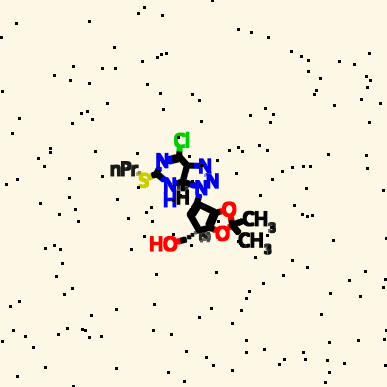 CCCSC1N=C(Cl)C2N=NN(C3=C[C@@H](CO)C4=C3OC(C)(C)O4)[C@H]2N1